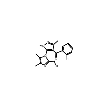 Cc1nn(C)c(-n2c(CO)nc(C)c2C)c1C(=O)c1ccccc1Cl